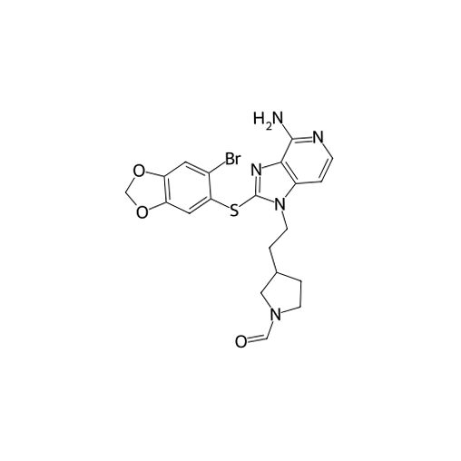 Nc1nccc2c1nc(Sc1cc3c(cc1Br)OCO3)n2CCC1CCN(C=O)C1